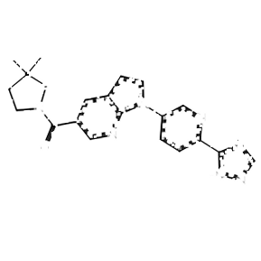 CC1(C)CCN(C(=O)c2cnc3c(ccn3-c3ccc(-c4ncn[nH]4)nc3)c2)C1